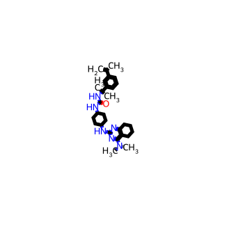 C=C(C)c1cccc(C(C)(C)NC(=O)NC2CCC(Nc3nc4c(c(N(C)C)n3)CCCC4)CC2)c1